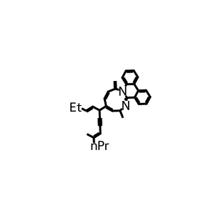 C=C1/C=C\C(C(C#C/C=C(\C)CCC)/C=C/CC)=C/C(C)/N=C2/c3ccccc3-c3ccccc3N12